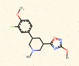 CCOc1noc(C2CC(c3ccc(OC(F)(F)F)c(F)c3)CN(C(C)(C)C)C2)n1